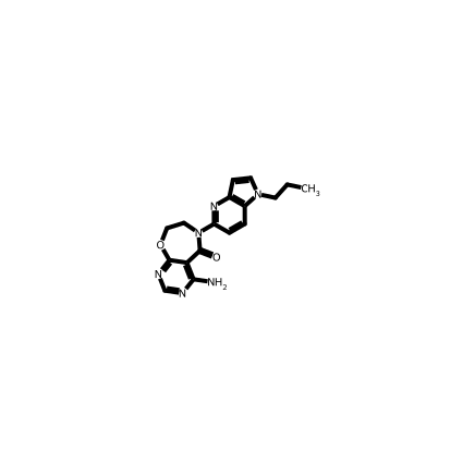 CCCn1ccc2nc(N3CCOc4ncnc(N)c4C3=O)ccc21